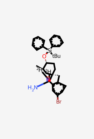 [2H]C1([2H])OC(N)=NC12c1cc(Br)ccc1C[C@]21CC[C@@H](O[Si](c2ccccc2)(c2ccccc2)C(C)(C)C)[C@H](C)C1